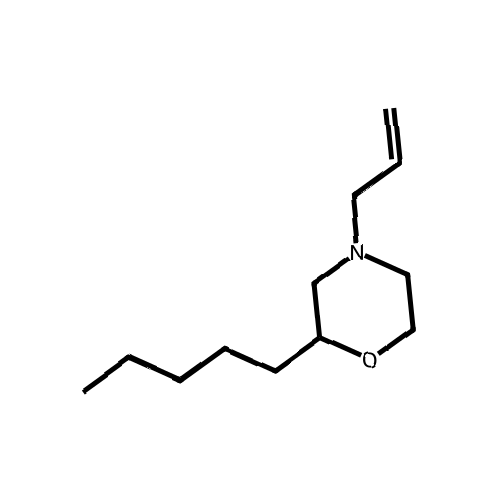 C=CCN1CCOC(CCCCC)C1